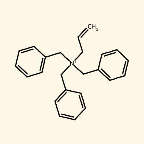 C=CC[N+](Cc1ccccc1)(Cc1ccccc1)Cc1ccccc1